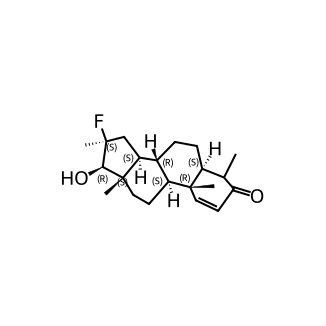 CC1C(=O)C=C[C@@]2(C)[C@H]1CC[C@@H]1[C@@H]2CC[C@]2(C)[C@@H](O)[C@@](C)(F)C[C@@H]12